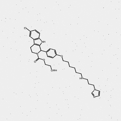 COCCOC(=O)N1CCc2c([nH]c3ccc(Cl)cc23)C1c1ccc(OCCCCCCNCCCn2ccnc2)cc1